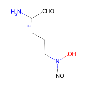 N/C(C=O)=C/CCN(O)N=O